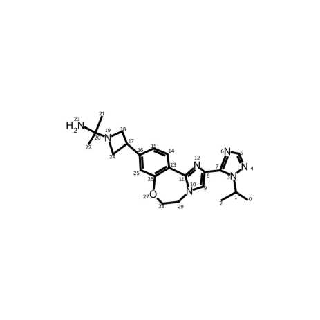 CC(C)n1ncnc1-c1cn2c(n1)-c1ccc(C3CN(C(C)(C)N)C3)cc1OCC2